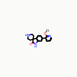 CCOc1ncccc1-c1ccc2c(c1)NC(=O)C21CCNCC1